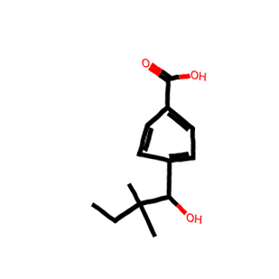 CCC(C)(C)C(O)c1ccc(C(=O)O)cc1